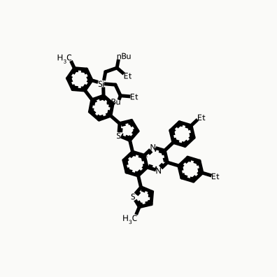 CCCCC(CC)C[Si]1(CC(CC)CCCC)c2cc(C)ccc2-c2ccc(-c3ccc(-c4ccc(-c5ccc(C)s5)c5nc(-c6ccc(CC)cc6)c(-c6ccc(CC)cc6)nc45)s3)cc21